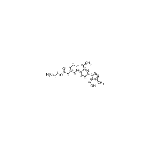 C=CCOC(=O)C[C@H]1CCCN(c2ccc(-c3nnn(C)c3CO)nc2CC)C1